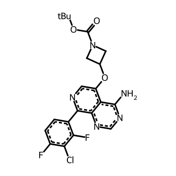 CC(C)(C)OC(=O)N1CC(Oc2cnc(-c3ccc(F)c(Cl)c3F)c3ncnc(N)c23)C1